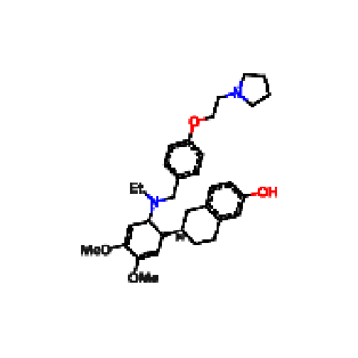 CCN(Cc1ccc(OCCN2CCCC2)cc1)C1C=C(OC)C(OC)=CC1[C@@H]1CCc2cc(O)ccc2C1